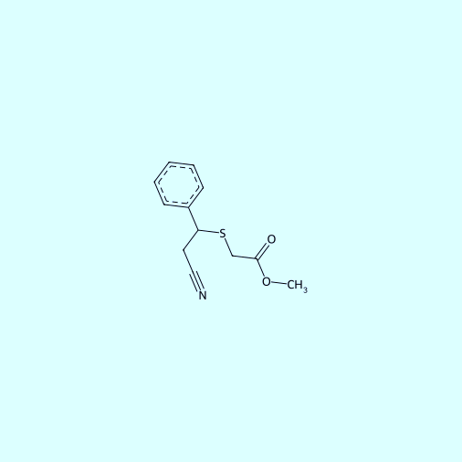 COC(=O)CSC(CC#N)c1ccccc1